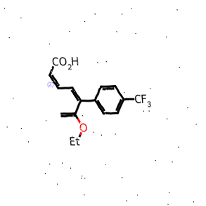 C=C(OCC)C(=C/C=C\C(=O)O)c1ccc(C(F)(F)F)cc1